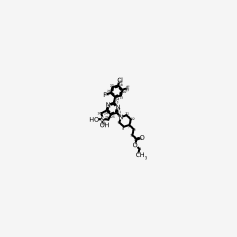 CCOC(=O)CCC1CCN(c2nc(-c3cc(F)c(Cl)cc3F)nc3c2CS(O)(O)C3)CC1